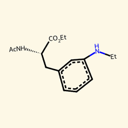 CCNc1cccc(C[C@H](NC(C)=O)C(=O)OCC)c1